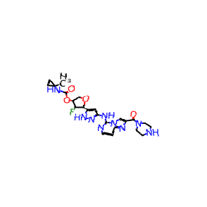 CC1(NC(=O)O[C@H]2CO[C@@H](c3cc(Nc4nccc5nc(C(=O)N6CCNCC6)cn45)n[nH]3)[C@H]2F)CC1